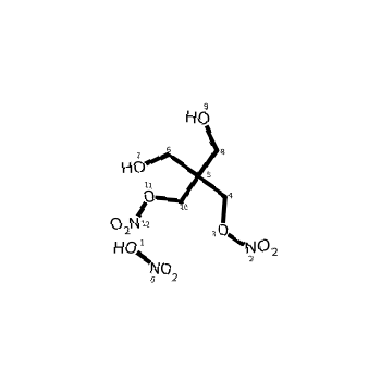 O=[N+]([O-])O.O=[N+]([O-])OCC(CO)(CO)CO[N+](=O)[O-]